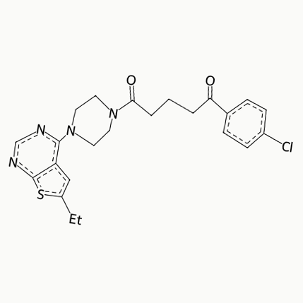 CCc1cc2c(N3CCN(C(=O)CCCC(=O)c4ccc(Cl)cc4)CC3)ncnc2s1